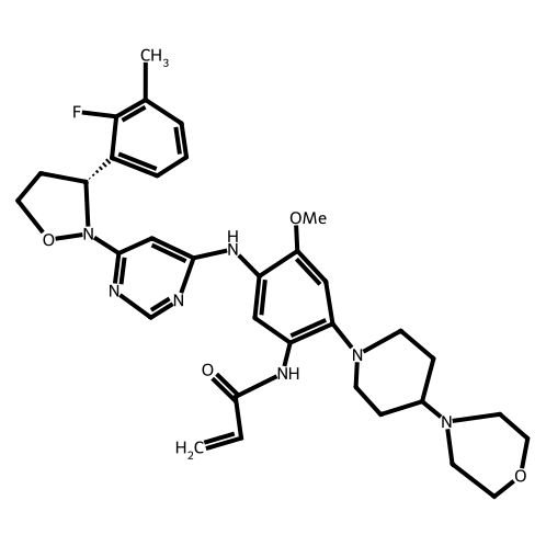 C=CC(=O)Nc1cc(Nc2cc(N3OCC[C@@H]3c3cccc(C)c3F)ncn2)c(OC)cc1N1CCC(N2CCOCC2)CC1